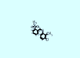 Cc1c(Cl)cccc1/N=C\c1ccccc1S(C)(=O)=O